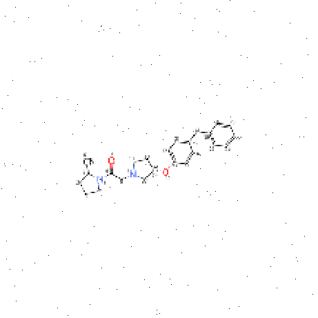 N#CC1CCCN1C(=O)CN1CC[C@H](Oc2ccc(Cc3ccccc3)cc2)C1